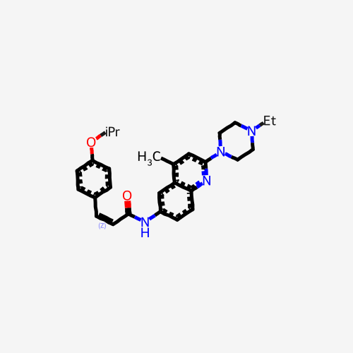 CCN1CCN(c2cc(C)c3cc(NC(=O)/C=C\c4ccc(OC(C)C)cc4)ccc3n2)CC1